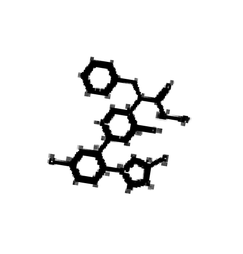 CCCNC(=O)[C@H](Cc1ccccc1)n1cnc(-c2cc(Cl)ccc2-n2cc(Cl)nn2)cc1=O